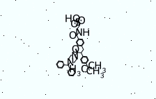 CC(C)(C)c1ccc(C(Cc2ccc(C(=O)NCCS(=O)(=O)O)cc2)C(=O)N2CCN(C(c3ccccc3)c3ccccc3)CC2)cc1